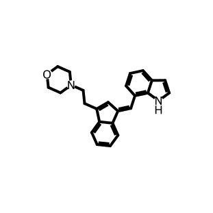 C1=C(CCN2CCOCC2)c2ccccc2/C1=C/c1cccc2cc[nH]c12